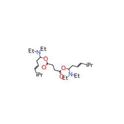 CCN(CC)C(CC=CC(C)C)OC(=O)CCC(=O)OC(CC=CC(C)C)N(CC)CC